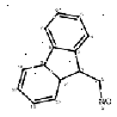 O=NCC1c2ccccc2C2C=CC=CC21